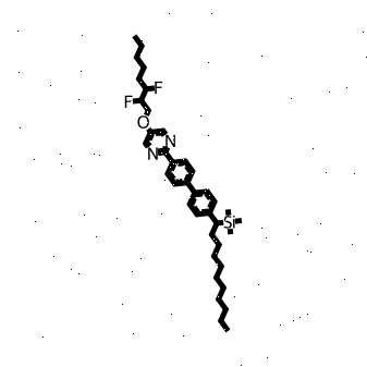 CCCCCCCCCCC(c1ccc(-c2ccc(-c3ncc(OCC(F)C(F)CCCCC)cn3)cc2)cc1)[Si](C)(C)C